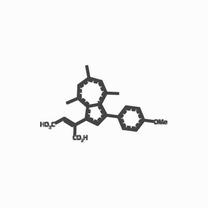 COc1ccc(-c2cc(C(=CC(=O)O)C(=O)O)c3c(C)cc(C)cc(C)c2-3)cc1